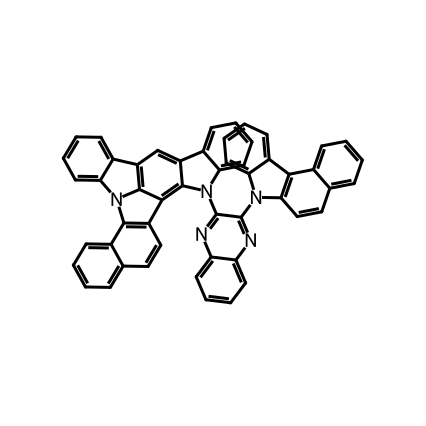 c1ccc2c(c1)ccc1c2c2ccccc2n1-c1nc2ccccc2nc1-n1c2ccccc2c2cc3c4ccccc4n4c5c6ccccc6ccc5c(c21)c34